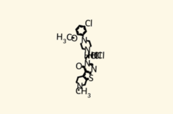 COc1ccc(Cl)cc1N1CCN(CCn2cnc3sc4c(c3c2=O)CCN(C)C4)CC1.Cl.Cl.Cl